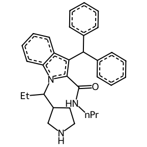 CCCNC(=O)c1c(C(c2ccccc2)c2ccccc2)c2ccccc2n1C(CC)C1CCNC1